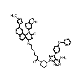 Cn1cc(-c2ccc3ncc4c(/N=C/CSCCC(=O)N5CCC[C@@H](n6nc(-c7ccc(Oc8ccccc8)cc7)c7c(N)ncnc76)C5)cc(=O)n(-c5ccc6c(c5)NCC6)c4c3c2)cn1